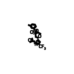 Cc1cccc(S(=O)(=O)[C@@]2(C)CCO[C@@H](c3cc(C(F)(F)F)nn3C3COC3)C2)c1